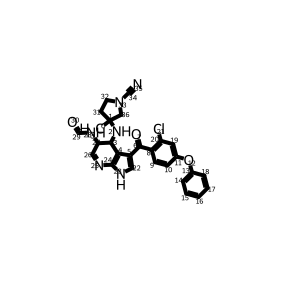 CC1(NC2c3c(C(=O)c4ccc(Oc5ccccc5)cc4Cl)c[nH]c3N=CC2NC=O)CCN(C#N)C1